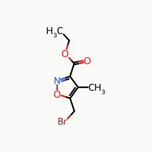 CCOC(=O)c1noc(CBr)c1C